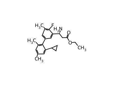 CCOC(=O)C[C@H](N)c1cc(-c2c(C)cc(C)cc2C2CC2)cc(C)c1F